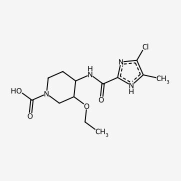 CCOC1CN(C(=O)O)CCC1NC(=O)c1nc(Cl)c(C)[nH]1